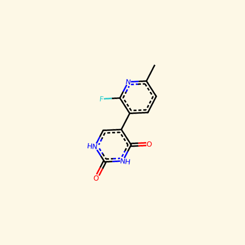 Cc1ccc(-c2c[nH]c(=O)[nH]c2=O)c(F)n1